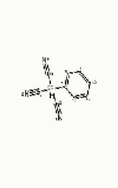 N#C[PH](C#N)(C#N)c1ccccc1